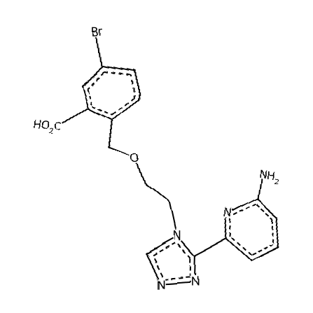 Nc1cccc(-c2nncn2CCOCc2ccc(Br)cc2C(=O)O)n1